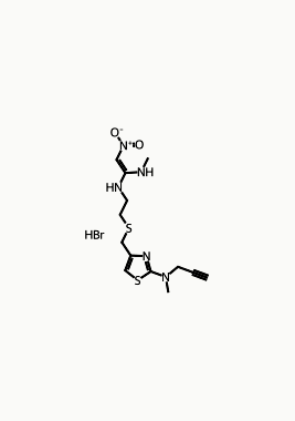 Br.C#CCN(C)c1nc(CSCCNC(=C[N+](=O)[O-])NC)cs1